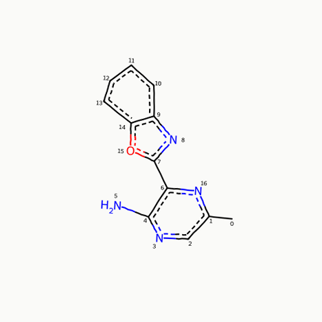 Cc1cnc(N)c(-c2nc3ccccc3o2)n1